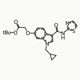 CC(C)(C)OC(=O)COc1ccc2c(C(=O)Nc3nccs3)cn(CC3CC3)c2c1